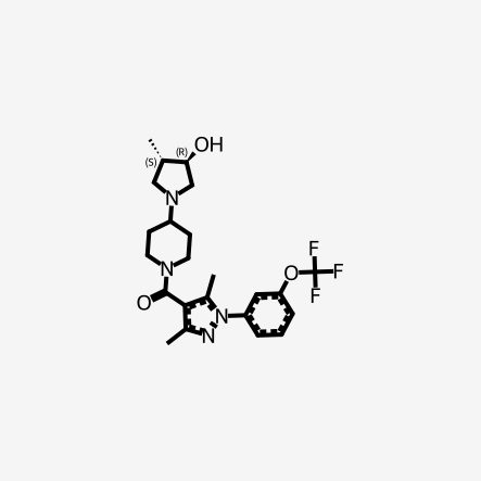 Cc1nn(-c2cccc(OC(F)(F)F)c2)c(C)c1C(=O)N1CCC(N2C[C@H](C)[C@@H](O)C2)CC1